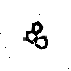 c1ccc2c(c1)CNCC21CCCCN1